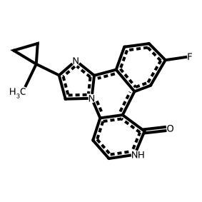 CC1(c2cn3c4cc[nH]c(=O)c4c4cc(F)ccc4c3n2)CC1